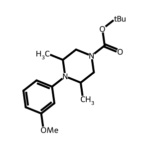 COc1cccc(N2C(C)CN(C(=O)OC(C)(C)C)CC2C)c1